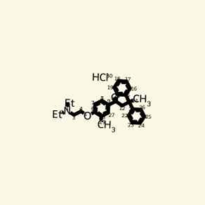 CCN(CC)CCOc1ccc(C(=O)CC(C)(c2ccccc2)c2ccccc2)cc1C.Cl